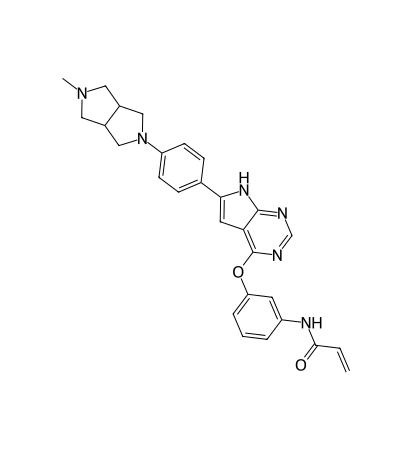 C=CC(=O)Nc1cccc(Oc2ncnc3[nH]c(-c4ccc(N5CC6CN(C)CC6C5)cc4)cc23)c1